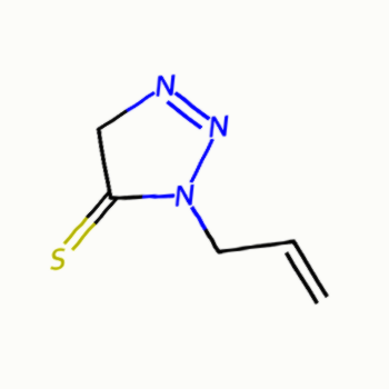 C=CCN1N=NCC1=S